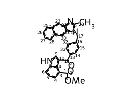 COC(=O)c1cccc2[nH]cc(C(=O)c3ccc(Cn4c(C)nc5cc6ccccc6cc54)cc3)c12